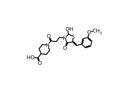 COc1cccc(/C=C2\SC(O)N(CCC(=O)N3CCC(C(=O)O)CC3)C2=O)c1